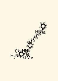 COc1cc(N)c(Cl)cc1C(=O)NCC1CCN(CCCCCCNC(=O)c2ccccc2)CC1